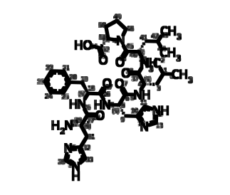 CC(C)C[C@H](NC(=O)[C@H](Cc1c[nH]cn1)NC(=O)[C@H](Cc1ccccc1)NC(=O)[C@@H](N)Cc1c[nH]cn1)C(=O)N[C@@H](CC(C)C)C(=O)N1CCC[C@H]1C(=O)O